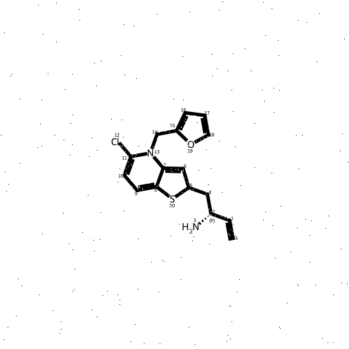 C=C[C@H](N)CC1C=C2C(=CC=C(Cl)N2Cc2ccco2)S1